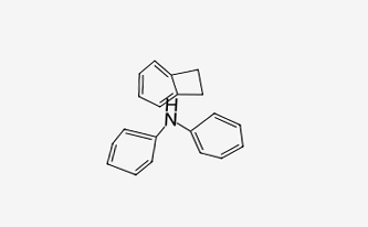 c1ccc(Nc2ccccc2)cc1.c1ccc2c(c1)CC2